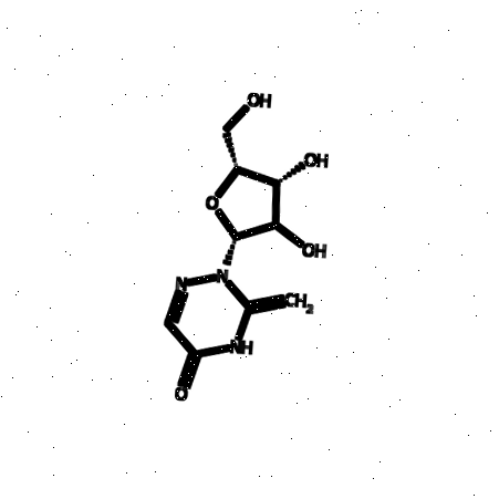 C=C1NC(=O)C=NN1[C@@H]1O[C@H](CO)[C@H](O)C1O